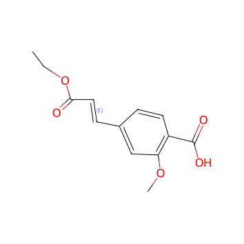 CCOC(=O)/C=C/c1ccc(C(=O)O)c(OC)c1